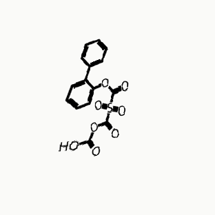 O=C(O)OC(=O)S(=O)(=O)C(=O)Oc1ccccc1-c1ccccc1